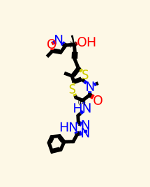 Cc1cc([C@](C)(O)C#Cc2sc3c(c2C)SC[C@H](NCc2nnc(Cc4ccccc4)[nH]2)C(=O)N3C)no1